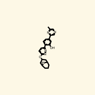 Cc1cncc(-c2ccc(-c3ccc(OC4CC5CCCC(C4)N5)nn3)c(O)c2)n1